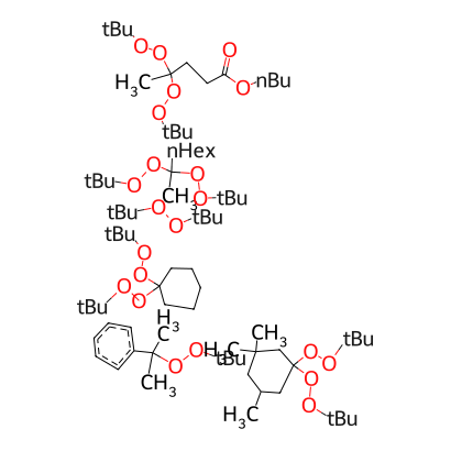 CC(C)(C)OOC(C)(C)C.CC(C)(C)OOC(C)(C)c1ccccc1.CC(C)(C)OOC1(OOC(C)(C)C)CCCCC1.CC1CC(C)(C)CC(OOC(C)(C)C)(OOC(C)(C)C)C1.CCCCCCC(C)(OOC(C)(C)C)OOC(C)(C)C.CCCCOC(=O)CCC(C)(OOC(C)(C)C)OOC(C)(C)C